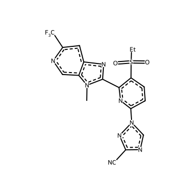 CCS(=O)(=O)c1ccc(-n2cnc(C#N)n2)nc1-c1nc2cc(C(F)(F)F)ncc2n1C